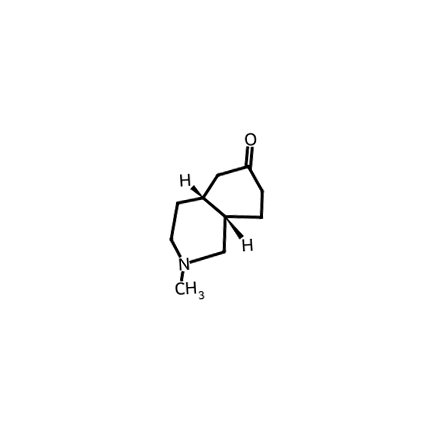 CN1CC[C@@H]2CC(=O)CC[C@@H]2C1